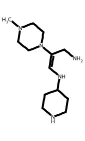 CN1CCN(/C(=C/NC2CCNCC2)CN)CC1